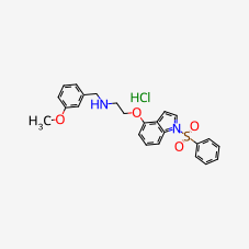 COc1cccc(CNCCOc2cccc3c2ccn3S(=O)(=O)c2ccccc2)c1.Cl